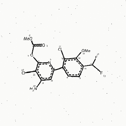 COC(=O)Oc1nc(-c2ccc(C(F)F)c(OC)c2Cl)cc(N)c1Cl